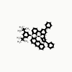 CC(C)(C)c1cc(N2c3cccc4c3B(c3c2ccc2cc5ccccc5cc32)n2c3ccc(-c5ccccc5)cc3c3cc(-c5ccccc5)cc-4c32)cc(C(C)(C)C)c1